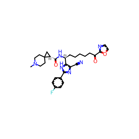 CN1CCC2(CC1)C[C@@H]2C(=O)N[C@@H](CCCCCC(=O)c1ncco1)c1[nH]c(-c2ccc(F)cc2)nc1C#N